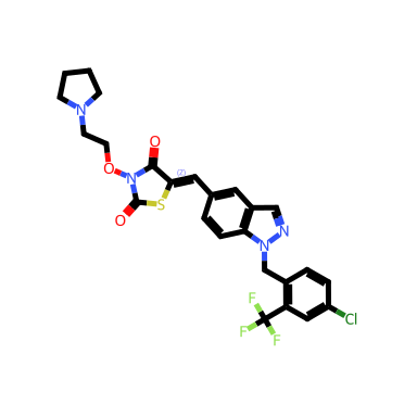 O=C1S/C(=C\c2ccc3c(cnn3Cc3ccc(Cl)cc3C(F)(F)F)c2)C(=O)N1OCCN1CCCC1